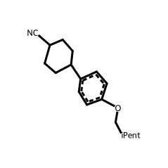 CCCC(C)COc1ccc(C2CCC(C#N)CC2)cc1